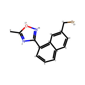 Cc1nc(-c2cccc3ccc(CBr)cc23)no1